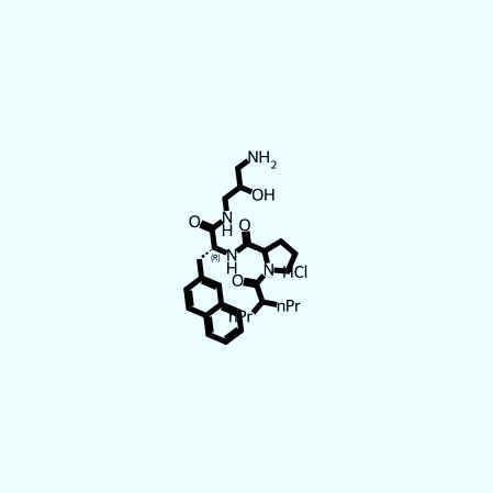 CCCC(CCC)C(=O)N1CCCC1C(=O)N[C@H](Cc1ccc2ccccc2c1)C(=O)NCC(O)CN.Cl